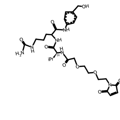 CC(C)[C@H](NC(=O)COCCOCCN1C(=O)C=CC1=O)C(=O)NC(CCCNC(N)=O)C(=O)Nc1ccc(CO)cc1